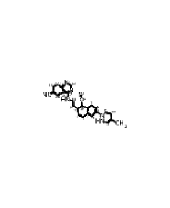 CC1=CNN(c2ccc3c(c2)C=CC(CCNc2ncnc4ccc(C#N)cc24)C3=C=O)C=C1